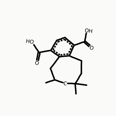 CC1Cc2c(C(=O)O)ccc(C(=O)O)c2CCC(C)(C)C1